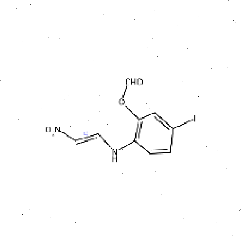 O=COc1cc(I)ccc1N/C=C/[N+](=O)[O-]